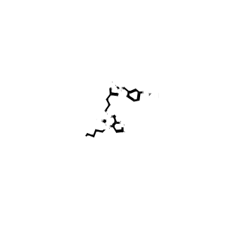 CCCCCn1c(=O)n(CCCc2cnn(Cc3cccc(OC)c3)c2)c(=O)c2[nH]c(Cl)cc21